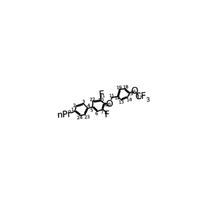 CCCc1ccc(-c2cc(F)c(OCc3ccc(OC(F)(F)F)cc3)c(F)c2)cc1